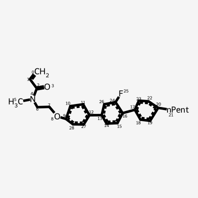 C=CC(=O)N(C)CCOc1ccc(-c2ccc(-c3ccc(CCCCC)cc3)c(F)c2)cc1